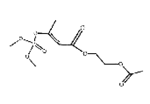 COP(=O)(OC)OC(C)=CC(=O)OCCOC(C)=O